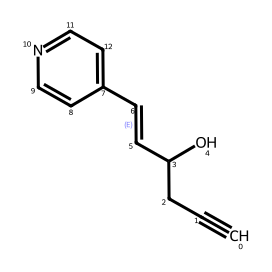 C#CCC(O)/C=C/c1ccncc1